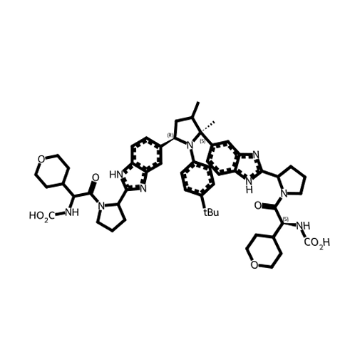 CC1C[C@H](c2ccc3[nH]c(C4CCCN4C(=O)C(NC(=O)O)C4CCOCC4)nc3c2)N(c2ccc(C(C)(C)C)cc2)[C@]1(C)c1ccc2[nH]c(C3CCCN3C(=O)[C@@H](NC(=O)O)C3CCOCC3)nc2c1